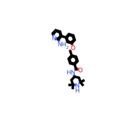 CC1(C)CC(NC(=O)c2ccc(COc3cccc(-c4cccnc4N)c3)cc2)CC(C)(C)N1